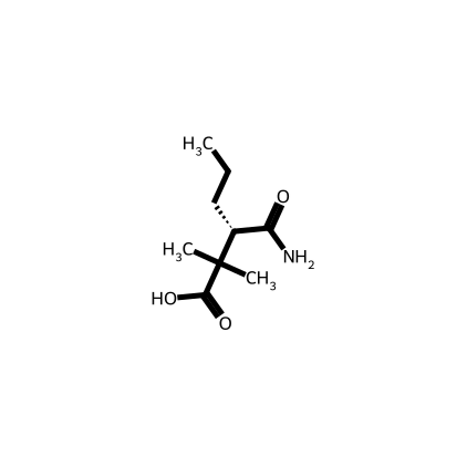 CCC[C@H](C(N)=O)C(C)(C)C(=O)O